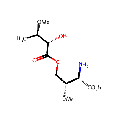 CO[C@H](C)[C@H](O)C(=O)OC[C@@H](OC)[C@H](N)C(=O)O